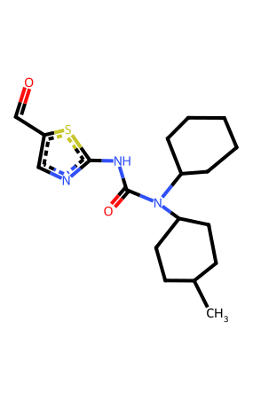 CC1CCC(N(C(=O)Nc2ncc(C=O)s2)C2CCCCC2)CC1